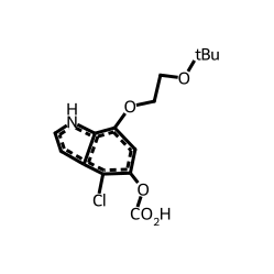 CC(C)(C)OCCOc1cc(OC(=O)O)c(Cl)c2cc[nH]c12